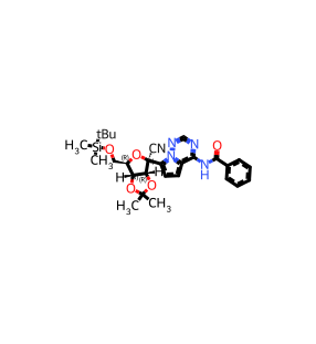 CC1(C)O[C@H]2[C@@H](O1)[C@](C#N)(c1ccc3c(NC(=O)c4ccccc4)ncnn13)O[C@@H]2CO[Si](C)(C)C(C)(C)C